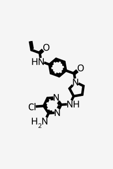 C=CC(=O)Nc1ccc(C(=O)N2CCC(Nc3ncc(Cl)c(N)n3)C2)cc1